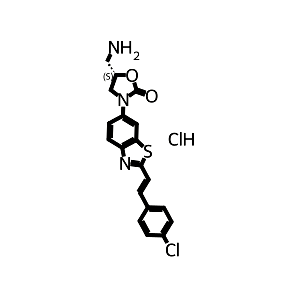 Cl.NC[C@H]1CN(c2ccc3nc(C=Cc4ccc(Cl)cc4)sc3c2)C(=O)O1